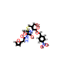 COC1(NC(=O)Cc2ccco2)C(=O)N2C(C(=O)OCc3ccc([N+](=O)[O-])cc3)=C(CBr)CS[C@H]21